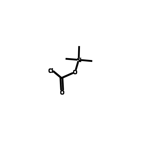 C[Si](C)(C)OC(=O)Cl